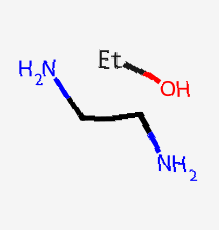 CCO.NCCN